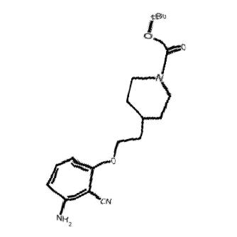 CC(C)(C)OC(=O)N1CCC(CCOc2cccc(N)c2C#N)CC1